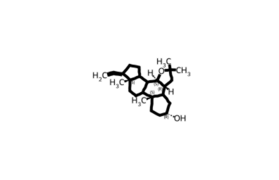 C=C=C1CCC2C3C(CC[C@]12C)[C@@]1(C)CC[C@@H](O)CC1[C@H]1CC(C)(C)O[C@H]31